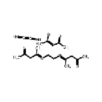 CC(=O)/C=C(/C)O.CC(=O)C/C(C)=N/CC/N=C(\C)CC(C)=O.N=C=C=N